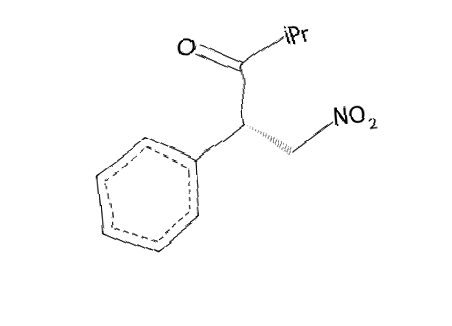 CC(C)C(=O)[C@H](C[N+](=O)[O-])c1ccccc1